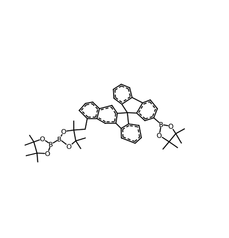 CC1(C)OB(B2OC(C)(C)C(C)(Cc3cccc4cc5c(cc34)-c3ccccc3C53c4ccccc4-c4ccc(B5OC(C)(C)C(C)(C)O5)cc43)O2)OC1(C)C